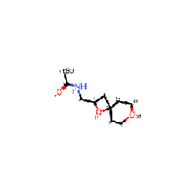 CC(C)(C)C(=O)NCC1CC2(CCOCC2)O1